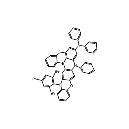 CC(C)c1cc(C(C)C)c(B2c3ccccc3Oc3cc4c(cc32)B2c3ccccc3Sc3cc(N(c5ccccc5)c5ccccc5)cc(c32)N4c2ccccc2)c(C(C)C)c1